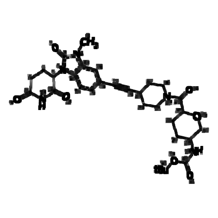 Cn1c(=O)n(C2CCC(=O)NC2=O)c2ccc(C#CC3CCN(C(=O)C4CCC(NC(=O)OC(C)(C)C)CO4)CC3)cc21